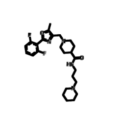 Cc1oc(-c2c(F)cccc2F)nc1CN1CCC(C(=O)NCCCN2CCCCC2)CC1